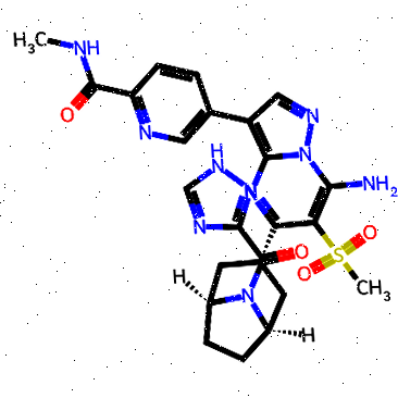 CNC(=O)c1ccc(-c2cnn3c(N)c(S(C)(=O)=O)c([C@@H]4C[C@H]5CC[C@@H](C4)N5C(=O)c4nc[nH]n4)nc23)cn1